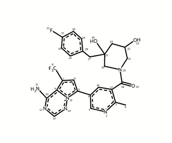 Cc1ncc(-c2cc(C(F)(F)F)c3c(N)ncnn23)cc1C(=O)N1CC(O)CC(O)(Cc2ccc(F)cc2)C1